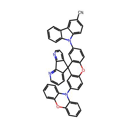 N#Cc1ccc2c(c1)c1ccccc1n2-c1ccc2c(c1)C1(c3cc(N4c5ccccc5Oc5ccccc54)ccc3O2)c2cccnc2-c2ncccc21